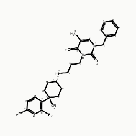 Cc1cn(Cc2ccccc2)c(=O)n(CCCN[C@H]2CC[C@@](C#N)(c3ccc(F)cc3F)CC2)c1=O